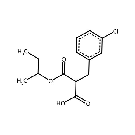 CCC(C)OC(=O)C(Cc1cccc(Cl)c1)C(=O)O